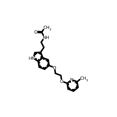 CC(=O)NCCc1c[nH]c2ccc(OCCOc3cccc(C)n3)cc12